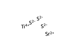 [S-2].[S-2].[S-2].[Sr+2].[Ti+4]